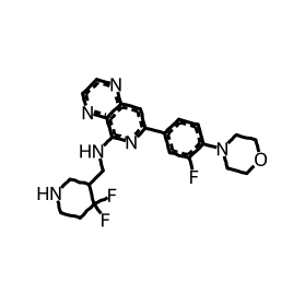 Fc1cc(-c2cc3nccnc3c(NCC3CNCCC3(F)F)n2)ccc1N1CCOCC1